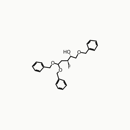 O[C@H](COCc1ccccc1)[C@@H](F)CC(OCc1ccccc1)OCc1ccccc1